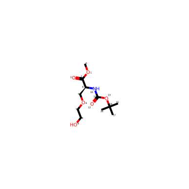 COC(=O)[C@H](COCCO)NC(=O)OC(C)(C)C